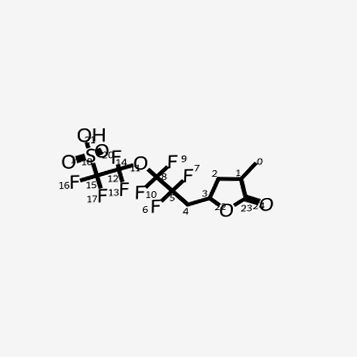 CC1CC(CC(F)(F)C(F)(F)OC(F)(F)C(F)(F)S(=O)(=O)O)OC1=O